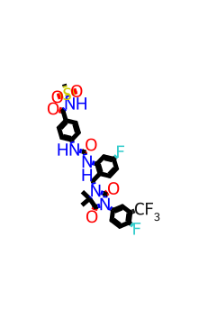 CC1(C)C(=O)N(c2ccc(F)c(C(F)(F)F)c2)C(=O)N1Cc1ccc(F)cc1NC(=O)Nc1ccc(C(=O)NS(C)(=O)=O)cc1